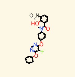 CN(C(=O)c1cccc([N+](=O)[O-])c1O)c1ccc(Oc2ncnc(Oc3ccccc3)c2F)cc1